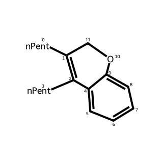 CCCCCC1=C(CCCCC)c2ccccc2OC1